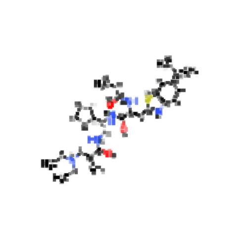 C=C(CN(CC)CC)C(=O)NC[C@@H](NC(=O)[C@H](Cc1nc2ccc(C(C)C)cc2s1)NC(=O)CC)C1CCCC1